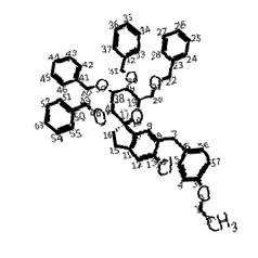 CCOc1ccc(Cc2cc3c(cc2Cl)CC[C@]32O[C@H](COCc3ccccc3)[C@@H](OCc3ccccc3)[C@H](OCc3ccccc3)[C@H]2OCc2ccccc2)cc1